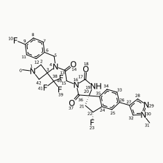 CN1CC(N(Cc2ccc(F)cc2)C(=O)CN2C(=O)N[C@]3(C[C@@H](F)c4cc(-c5cnn(C)c5)ccc43)C2=O)(C(F)(F)F)C1